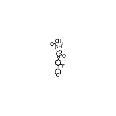 CC(=O)NC[C@H]1CN(c2ccc(C3CCOCC3)c(F)c2)C(=O)O1